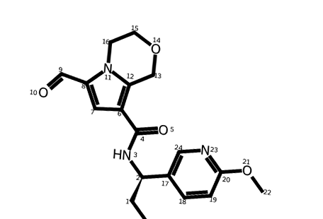 CC[C@@H](NC(=O)c1cc(C=O)n2c1COCC2)c1ccc(OC)nc1